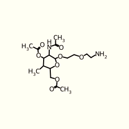 CC(=O)NC1C(OCCOCCN)OC(COC(C)=O)C(C)C1OC(C)=O